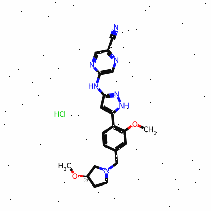 COc1cc(CN2CC[C@@H](OC)C2)ccc1-c1cc(Nc2cnc(C#N)cn2)n[nH]1.Cl